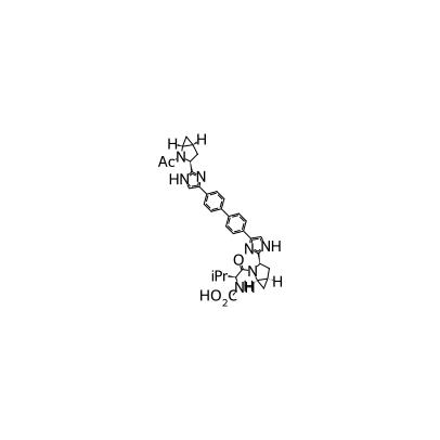 CC(=O)N1[C@@H]2C[C@@H]2C[C@H]1c1nc(-c2ccc(-c3ccc(-c4c[nH]c([C@H]5C[C@H]6C[C@H]6N5C(=O)[C@@H](NC(=O)O)C(C)C)n4)cc3)cc2)c[nH]1